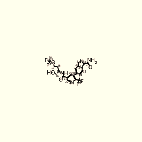 NC(=O)c1ncc2cc(-c3cc(C(=O)N[C@H](CO)CCOC(F)(F)F)cnc3C(F)(F)F)ccn12